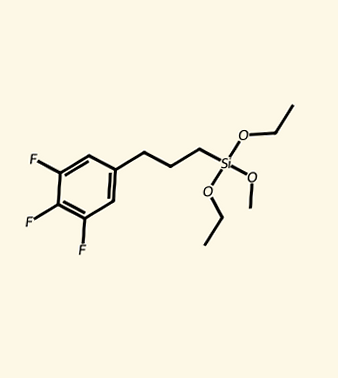 CCO[Si](CCCc1cc(F)c(F)c(F)c1)(OC)OCC